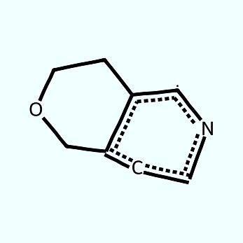 [c]1nccc2c1CCOC2